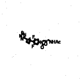 CC(=O)NC[C@H]1CN(c2cc(F)c(-c3ccc(-c4nnn(C)n4)s3)c(F)c2)C(=O)O1